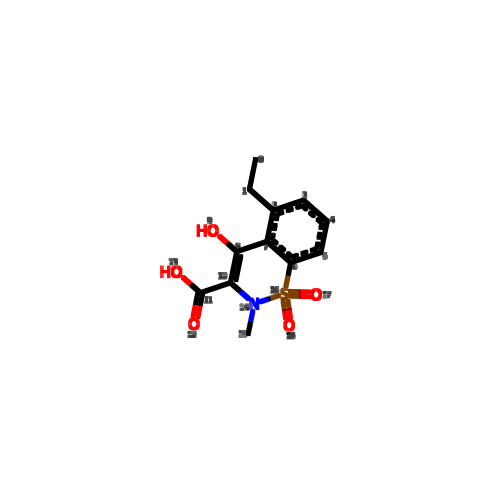 CCc1cccc2c1C(O)=C(C(=O)O)N(C)S2(=O)=O